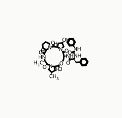 C[C@H]1C[C@H]2C(=O)OC[C@H](NC(=O)[C@H](Cc3ccccc3)NC(=O)Nc3ccccc3)C(=O)N3CC(O)C[C@H]3C(=O)N3CCCC[C@H]3C(=O)N[C@@H](C)C(=O)N2C1